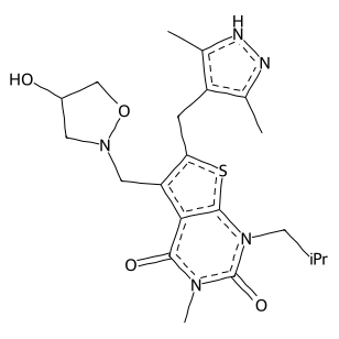 Cc1n[nH]c(C)c1Cc1sc2c(c1CN1CC(O)CO1)c(=O)n(C)c(=O)n2CC(C)C